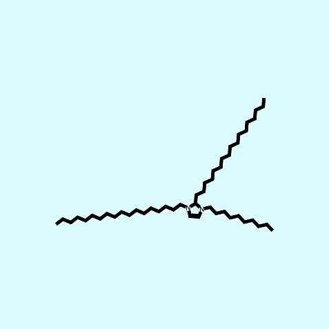 CCCCCCCCCCCCCCCCCCN1C=CN(CCCCCCCCCC)C1CCCCCCCCCCCCCCCCC